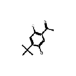 CC(=O)c1cc(Cl)c(C(C)(C)C)cc1Cl